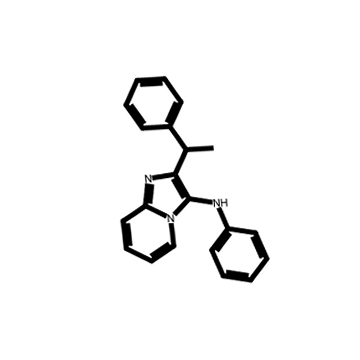 CC(c1ccccc1)c1nc2ccccn2c1Nc1ccccc1